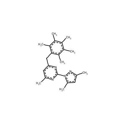 Cc1cc(Cc2c(C)c(C)c(C)c(C)c2C)nc(-n2nc(C)cc2C)n1